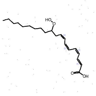 CCCCCCCCCC(C\C=C/C=C\C=C/C=C/C(=O)O)OO